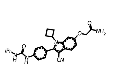 CC(C)NC(=O)Nc1ccc(-c2c(C#N)c3ccc(OCC(N)=O)cc3n2C2CCC2)cc1